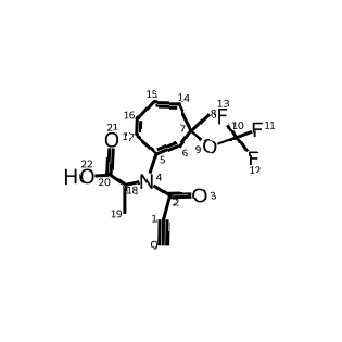 C#CC(=O)N(C1=CC(C)(OC(F)(F)F)C=CC=C1)C(C)C(=O)O